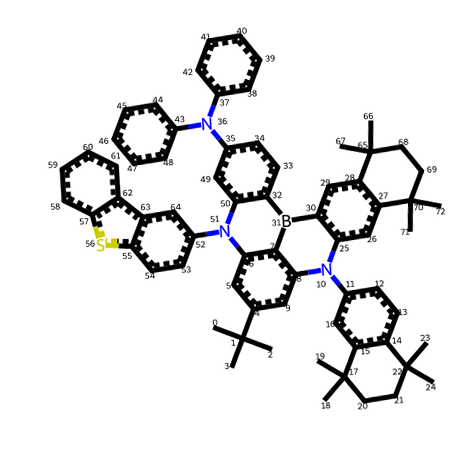 CC(C)(C)c1cc2c3c(c1)N(c1ccc4c(c1)C(C)(C)CCC4(C)C)c1cc4c(cc1B3c1ccc(N(c3ccccc3)c3ccccc3)cc1N2c1ccc2sc3ccccc3c2c1)C(C)(C)CCC4(C)C